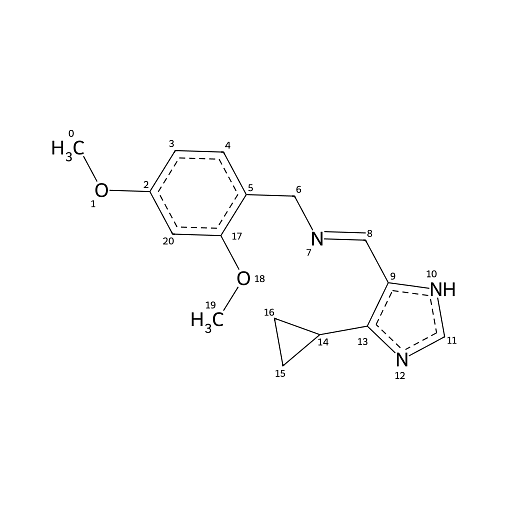 COc1ccc(C/N=C/c2[nH]cnc2C2CC2)c(OC)c1